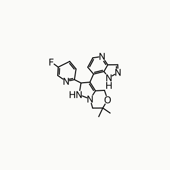 CC1(C)CN2NC(c3ccc(F)cn3)C(c3ccnc4cn[nH]c34)=C2CO1